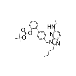 CCCCc1nc2ccc(NCC)nc2n1Cc1ccc(-c2ccccc2OC(=O)OC(C)(C)C)cc1